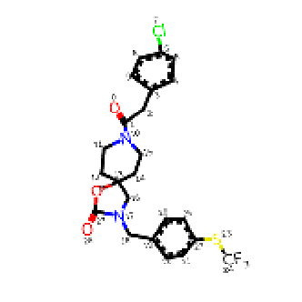 O=C(Cc1ccc(Cl)cc1)N1CCC2(CC1)CN(Cc1ccc(SC(F)(F)F)cc1)C(=O)O2